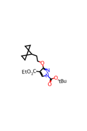 CCOC(=O)c1cn(C(=O)OC(C)(C)C)nc1OCCC1C2(CC2)C12CC2